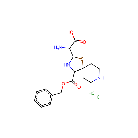 Cl.Cl.NC(C(=O)O)C1NC(C(=O)OCc2ccccc2)C2(CCNCC2)S1